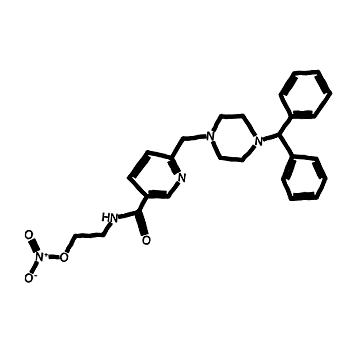 O=C(NCCO[N+](=O)[O-])c1ccc(CN2CCN(C(c3ccccc3)c3ccccc3)CC2)nc1